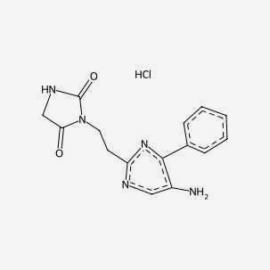 Cl.Nc1cnc(CCN2C(=O)CNC2=O)nc1-c1ccccc1